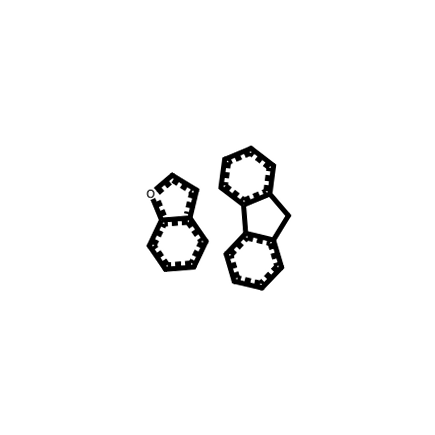 c1ccc2c(c1)Cc1ccccc1-2.c1ccc2occc2c1